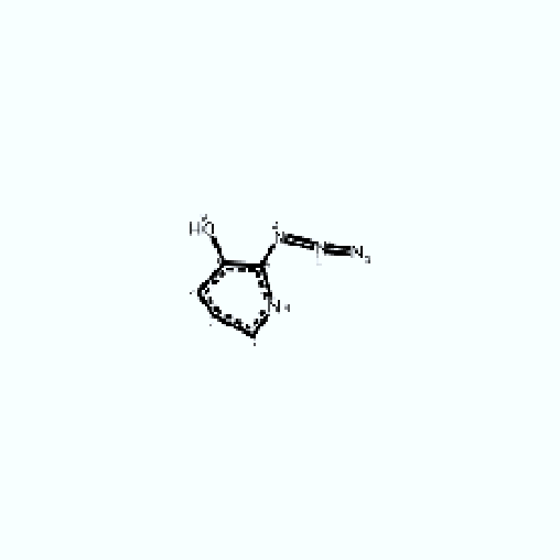 [N-]=[N+]=Nc1ncccc1O